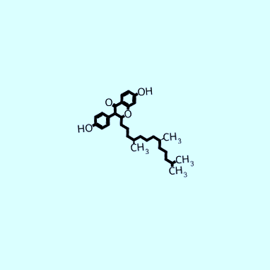 CC(C)CCC[C@@H](C)CCC[C@@H](C)CCCC1Oc2cc(O)ccc2C(=O)C1c1ccc(O)cc1